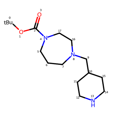 CC(C)(C)OC(=O)N1CCCN(CC2CCNCC2)CC1